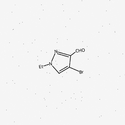 CCn1cc(Br)c(C=O)n1